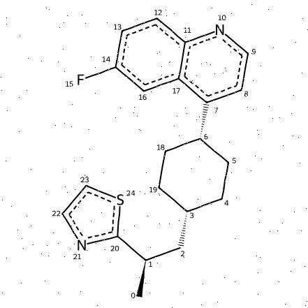 C[C@H](C[C@H]1CC[C@@H](c2ccnc3ccc(F)cc32)CC1)c1nccs1